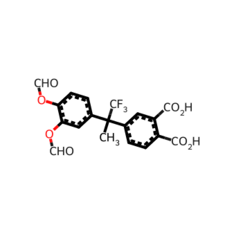 CC(c1ccc(OC=O)c(OC=O)c1)(c1ccc(C(=O)O)c(C(=O)O)c1)C(F)(F)F